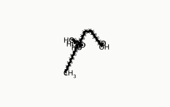 CCCCCCCCCCCCCCCCC(CCCCC/C=C\C/C=C\CCCCCCCC(=O)O)(CC(O)CO)C(=O)O